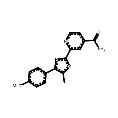 COc1ccc(-c2nc(-c3cc(C(N)=O)ccn3)sc2C)cc1